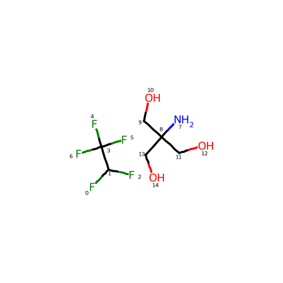 FC(F)C(F)(F)F.NC(CO)(CO)CO